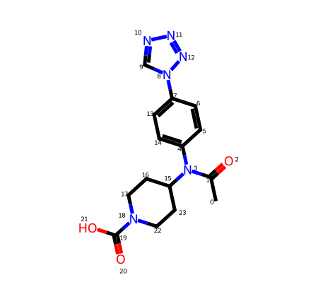 CC(=O)N(c1ccc(-n2cnnn2)cc1)C1CCN(C(=O)O)CC1